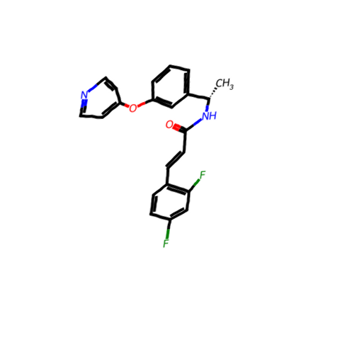 C[C@H](NC(=O)C=Cc1ccc(F)cc1F)c1cccc(Oc2ccncc2)c1